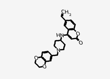 C=Cc1ccc2oc(=O)cc(NC3CCN(Cc4ccc5c(c4)OCCO5)CC3)c2c1